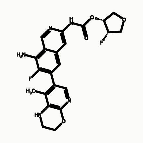 Cc1c(-c2cc3cc(NC(=O)O[C@@H]4COC[C@@H]4F)ncc3c(N)c2F)cnc2c1NCCO2